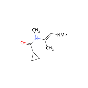 CN/C=C(\C)N(C)C(=O)C1CC1